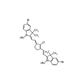 CCCCN1/C(=C/C=C2\CCC(/C=C/C3=[N+](CCCC)c4ccc(Br)cc4C3(C)C)=C2Cl)C(C)(C)c2cc(Br)ccc21